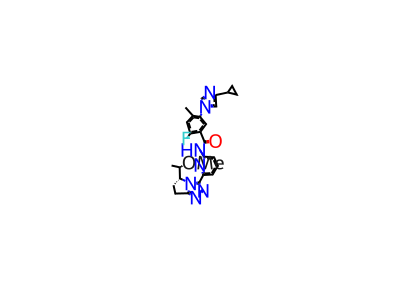 CO[C@H](C)[C@H]1CCc2nnc(-c3cccc(NC(=O)c4cc(-n5cnc(C6CC6)c5)c(C)cc4F)n3)n21